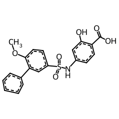 COc1ccc(S(=O)(=O)Nc2ccc(C(=O)O)c(O)c2)cc1-c1ccccc1